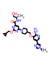 C[C@H](CO)NC(=O)c1cc(N2CCC(COc3cc(-c4cn(C)cn4)cnc3N)CC2)nc(OCC2CC2)n1